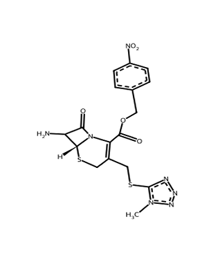 Cn1nnnc1SCC1=C(C(=O)OCc2ccc([N+](=O)[O-])cc2)N2C(=O)C(N)[C@H]2SC1